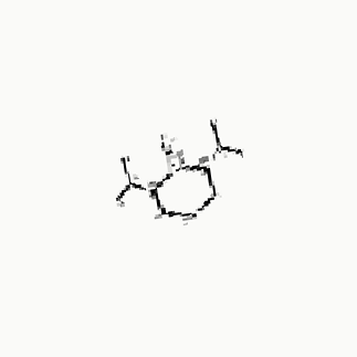 [CH2-][NH+]1[C@H](C(C)C)CSC[C@H]1C(C)C